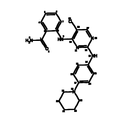 NC(=O)c1ccccc1Nc1nc(Nc2ccc(N3CCCCC3)cc2)ncc1Cl